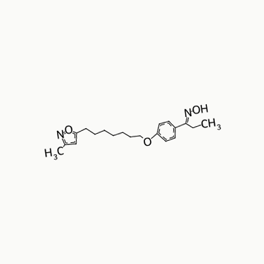 CCC(=NO)c1ccc(OCCCCCCCc2cc(C)no2)cc1